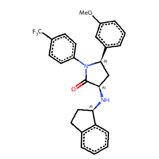 COc1cccc([C@H]2C[C@@H](N[C@@H]3CCc4ccccc43)C(=O)N2c2ccc(C(F)(F)F)cc2)c1